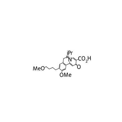 COCCCCc1cc2c(cc1OC)-c1cc(=O)c(C(=O)O)cn1[C@@H](C(C)C)C2